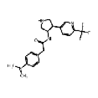 CN(C)c1ccc(CC(=O)NC2CNCC2c2ccc(C(F)(F)F)nc2)cc1